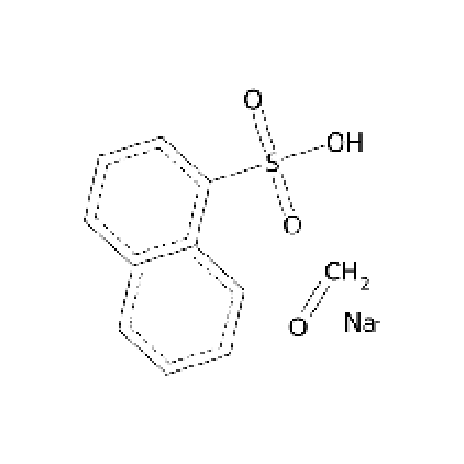 C=O.O=S(=O)(O)c1cccc2ccccc12.[Na]